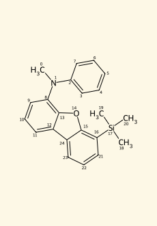 CN(c1ccccc1)c1cccc2c1oc1c([Si](C)(C)C)cccc12